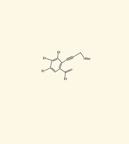 [C]=C(CC)c1cc(CC)c(CC)c(CC)c1C#CCCCCCCCCCCC